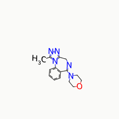 Cc1nnc2n1-c1ccccc1C(N1CCOCC1)=NC2